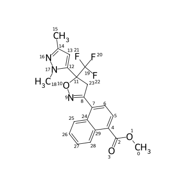 COC(=O)c1ccc(C2=NOC(c3cc(C)nn3C)(C(F)(F)F)C2)c2ccccc12